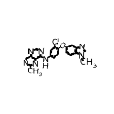 Cc1ncc2ncnc(Nc3ccc(Oc4ccc5c(c4)ncn5C)c(Cl)c3)c2n1